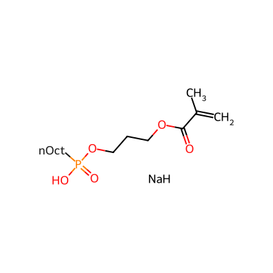 C=C(C)C(=O)OCCCOP(=O)(O)CCCCCCCC.[NaH]